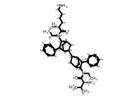 CCN(C(=O)[C@@H](N)C(C)C)C1C2CC(C3CC4CC3C(c3ccccc3)C4N(CC)C(=O)[C@@H](N)CCCCN)C(C2)C1c1ccccc1